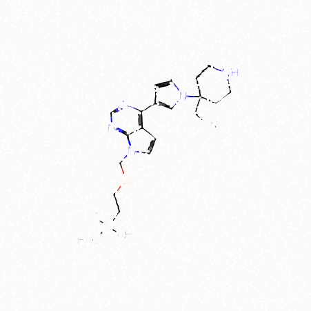 C[Si](C)(C)CCOCn1ccc2c(-c3ccn(C4(CC#N)CCNCC4)c3)ncnc21